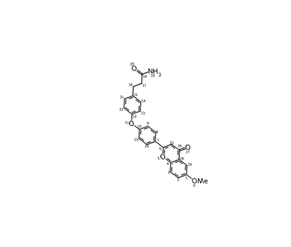 COc1ccc2oc(-c3ccc(Oc4ccc(CCC(N)=O)cc4)cc3)cc(=O)c2c1